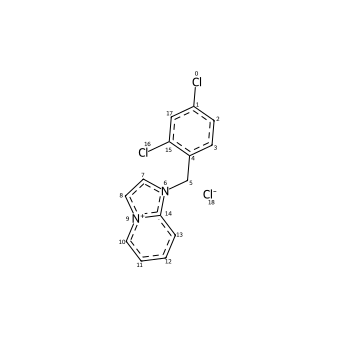 Clc1ccc(Cn2cc[n+]3ccccc23)c(Cl)c1.[Cl-]